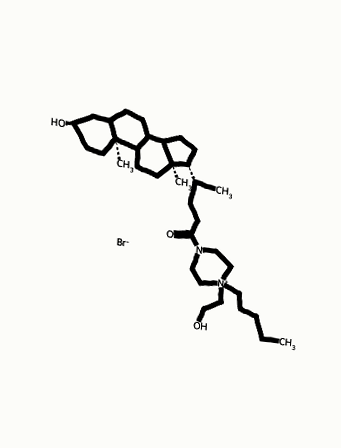 CCCCC[N+]1(CCO)CCN(C(=O)CCC(C)[C@H]2CCC3C4CCC5C[C@H](O)CC[C@]5(C)C4CC[C@@]32C)CC1.[Br-]